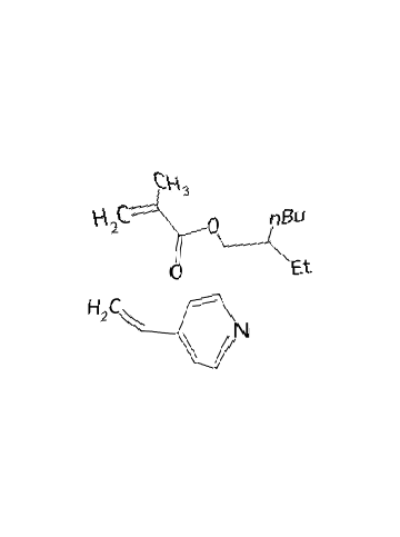 C=C(C)C(=O)OCC(CC)CCCC.C=Cc1ccncc1